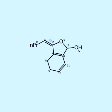 CCC/C=C1/OC(O)C2=C1CCC=C2